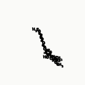 COCCOCCOCCOc1cnc(C2=NC(C)(C(=O)OC)CO2)c(O)c1